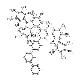 Bc1c(B)c(B)c(-n2c3c(B)c(B)c(B)c(B)c3c3c(-c4nc(-c5ccc(-c6cccc(-c7ccccc7)c6)cc5)nc(-c5c(B)c(B)c(B)c6c5oc5c(B)c(B)c(B)c(B)c56)n4)c(B)c(B)c(B)c32)c(B)c1B